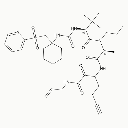 C#CCCC(NC(=O)[C@H](C)N(CCC)C(=O)[C@@H](NC(=O)NC1(CS(=O)(=O)c2ccccn2)CCCCC1)C(C)(C)C)C(=O)C(=O)NCC=C